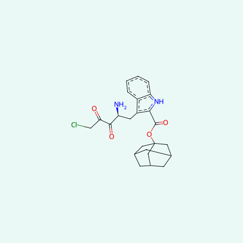 N[C@@H](Cc1c(C(=O)OC23CC4CC(CC(C4)C2)C3)[nH]c2ccccc12)C(=O)C(=O)CCl